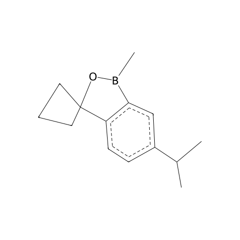 CB1OC2(CCC2)c2ccc(C(C)C)cc21